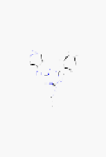 CCC(C)CNc1nc(Nc2ccncc2)nc(-c2ccccc2)n1